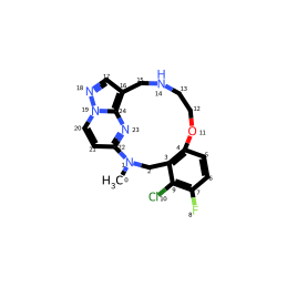 CN1Cc2c(ccc(F)c2Cl)OCCNCc2cnn3ccc1nc23